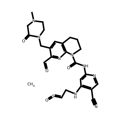 C.CN1CCN(Cc2cc3c(nc2C=O)N(C(=O)Nc2cc(NCC=S=O)c(C#N)cn2)CCC3)C(=O)C1